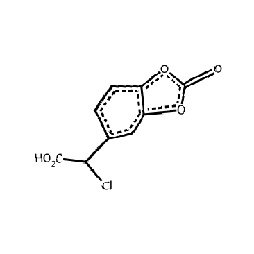 O=C(O)C(Cl)c1ccc2oc(=O)oc2c1